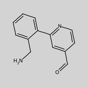 NCc1ccccc1-c1cc(C=O)ccn1